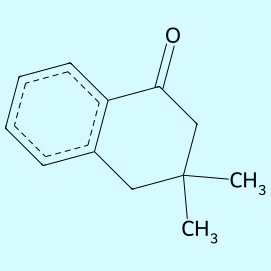 CC1(C)CC(=O)c2ccccc2C1